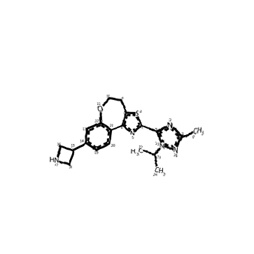 Cc1nc(-c2nc3c(s2)CCOc2cc(C4CNC4)ccc2-3)n(C(C)C)n1